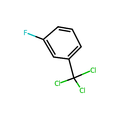 Fc1cccc(C(Cl)(Cl)Cl)c1